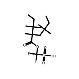 CCC(C)(C)CC(C)(C(=O)OC(F)(F)S(=O)(=O)O)C(C)(C)CC